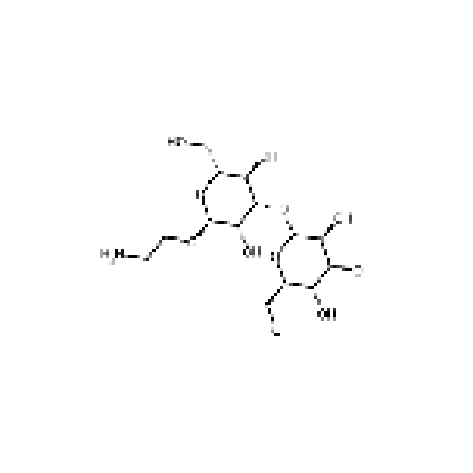 NCCO[C@H]1O[C@H](CO)[C@@H](O)[C@H](O[C@H]2O[C@H](CO)[C@@H](O)[C@H](O)[C@@H]2O)[C@@H]1O